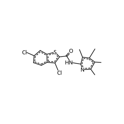 Cc1nc(NC(=O)c2sc3cc(Cl)ccc3c2Cl)c(C)c(C)c1C